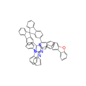 c1ccc(-c2nc(-c3ccccc3)nc(-c3ccc4c(c3)C3(c5ccccc5-c5ccc(-c6cc(-c7ccc8oc9ccccc9c8c7)cc(-c7nc8ccccc8n7-c7ccccc7)c6)cc53)c3ccccc3-4)n2)cc1